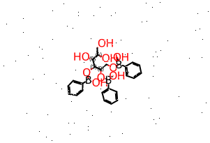 OC[C@@H](O)[C@@H](O)[C@H](OB(O)c1ccccc1)[C@@H](COB(O)c1ccccc1)OB(O)c1ccccc1